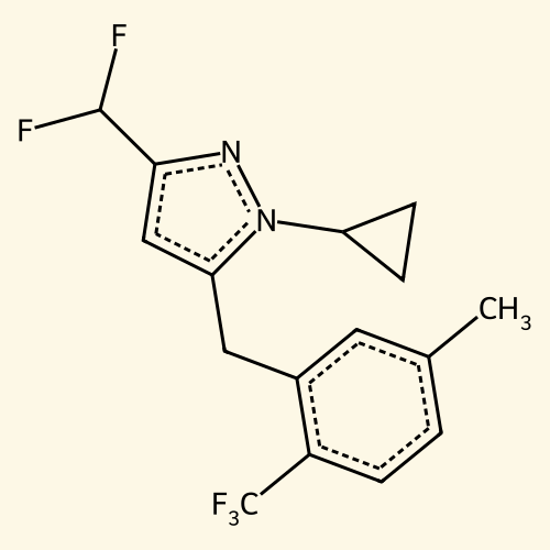 Cc1ccc(C(F)(F)F)c(Cc2cc(C(F)F)nn2C2CC2)c1